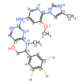 COc1cc(Nc2ncc3c(n2)N(C)C(c2cc(F)c(F)c(F)c2)CO3)cnc1-n1cnc(C)c1